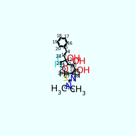 CN(C)C1=N[C@@H]2[C@@H](O)[C@H](O)C(C(O)(CCc3ccccc3)C(F)(F)F)O[C@@H]2S1